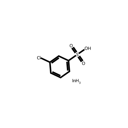 O=S(=O)(O)c1cccc(Cl)c1.[InH3]